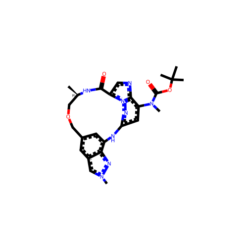 C[C@@H]1COCc2cc(c3nn(C)cc3c2)Nc2cc(N(C)C(=O)OC(C)(C)C)c3ncc(n3n2)C(=O)N1